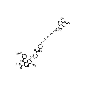 COc1cccc(Nc2c(C(N)=O)cnc3c(C)cc(Sc4cccc(C(=O)Nc5ccc(CCOCCCCCCNC[C@H](O)c6ccc(O)c7[nH]c(=O)ccc67)cc5)c4)cc23)c1